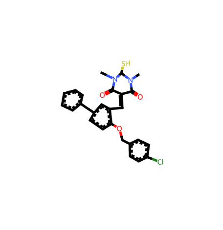 CN1C(=O)C(=Cc2cc(-c3ccccc3)ccc2OCc2ccc(Cl)cc2)C(=O)N(C)C1S